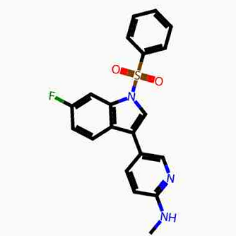 CNc1ccc(-c2cn(S(=O)(=O)c3ccccc3)c3cc(F)ccc23)cn1